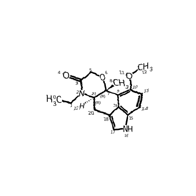 CCN1C(=O)CO[C@]2(C)c3c(OC)ccc4[nH]cc(c34)C[C@@H]12